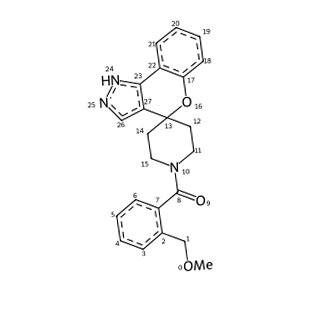 COCc1ccccc1C(=O)N1CCC2(CC1)Oc1ccccc1-c1[nH]ncc12